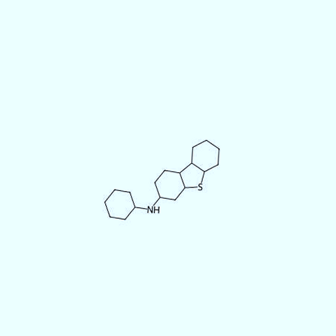 C1CCC(NC2CCC3C(C2)SC2CCCCC23)CC1